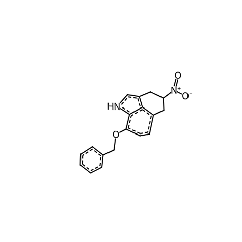 O=[N+]([O-])C1Cc2ccc(OCc3ccccc3)c3[nH]cc(c23)C1